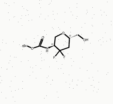 CC(C)(C)OC(=O)N[C@H]1CO[C@H](CO)CC1(F)F